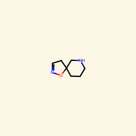 C1=NOC2(C1)CCCNC2